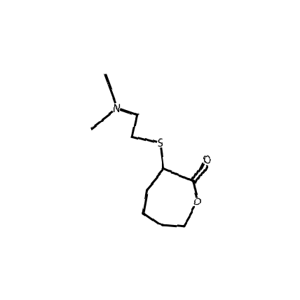 CN(C)CCSC1CCCCOC1=O